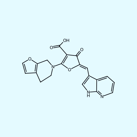 O=C(O)C1=C(N2CCc3ccoc3C2)OC(=Cc2c[nH]c3ncccc23)C1=O